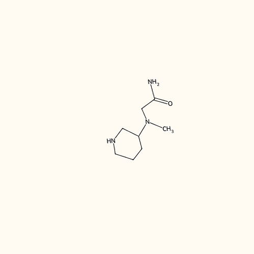 CN(CC(N)=O)C1CCCNC1